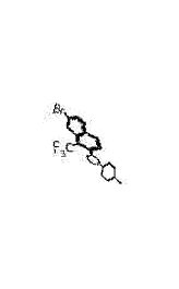 C[C@H]1CC[C@@H](Oc2ccc3ccc(Br)cc3c2C(F)(F)F)CC1